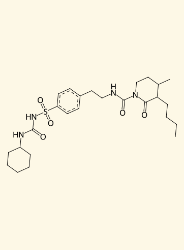 CCCCC1C(=O)N(C(=O)NCCc2ccc(S(=O)(=O)NC(=O)NC3CCCCC3)cc2)CCC1C